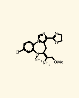 COC/C(N)=C1\Cc2c(C3=NCCO3)ncn2-c2ccc(Cl)cc2N1N